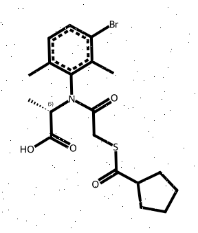 Cc1ccc(Br)c(C)c1N(C(=O)CSC(=O)C1CCCC1)[C@@H](C)C(=O)O